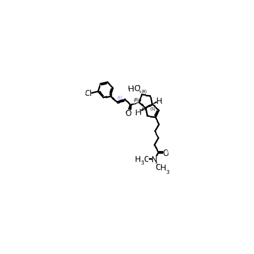 CN(C)C(=O)CCCCC1=C[C@H]2C[C@@H](O)[C@H](C(=O)/C=C/c3cccc(Cl)c3)[C@H]2C1